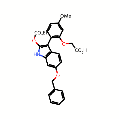 CCOC(=O)Oc1[nH]c2cc(OCc3ccccc3)ccc2c1-c1ccc(OC)cc1OCC(=O)O